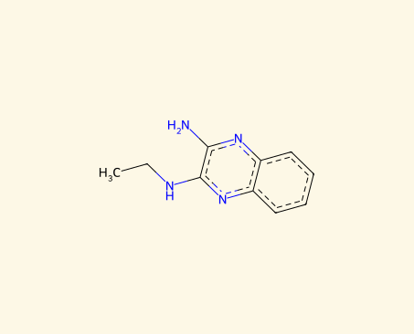 CCNc1nc2ccccc2nc1N